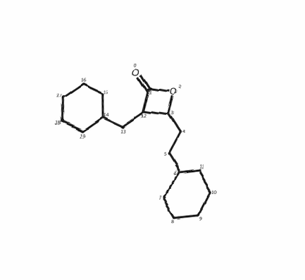 O=C1OC(CCC2CCCCC2)C1CC1CCCCC1